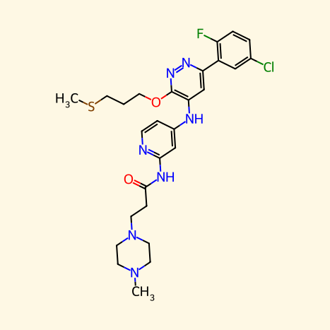 CSCCCOc1nnc(-c2cc(Cl)ccc2F)cc1Nc1ccnc(NC(=O)CCN2CCN(C)CC2)c1